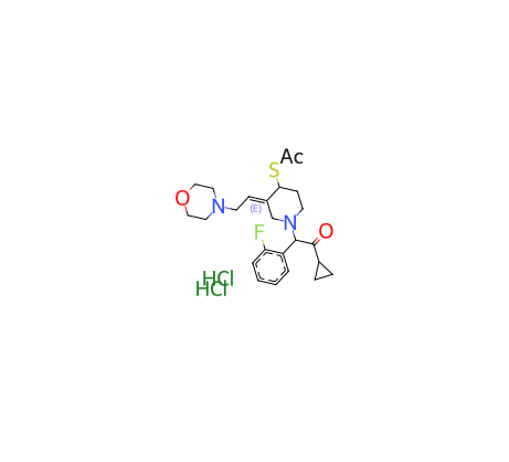 CC(=O)SC1CCN(C(C(=O)C2CC2)c2ccccc2F)C/C1=C\CN1CCOCC1.Cl.Cl